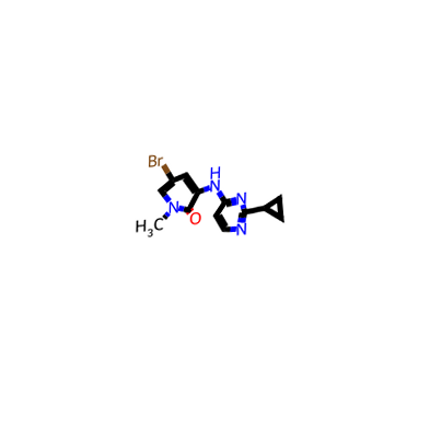 Cn1cc(Br)cc(Nc2ccnc(C3CC3)n2)c1=O